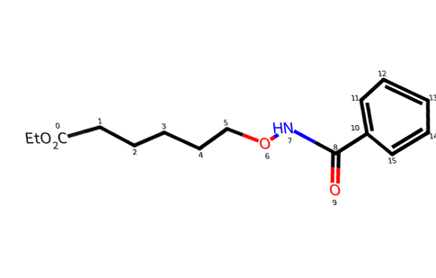 CCOC(=O)CCCCCONC(=O)c1ccccc1